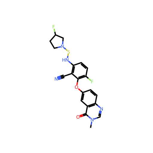 Cn1cnc2ccc(Oc3c(F)ccc(NSN4CCC(F)C4)c3C#N)cc2c1=O